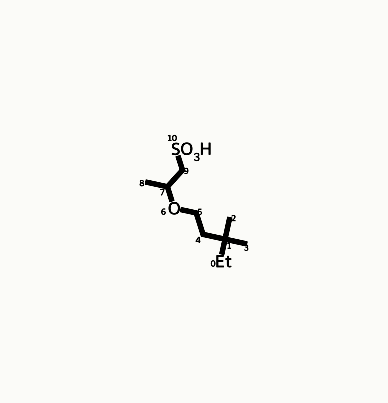 CCC(C)(C)CCOC(C)CS(=O)(=O)O